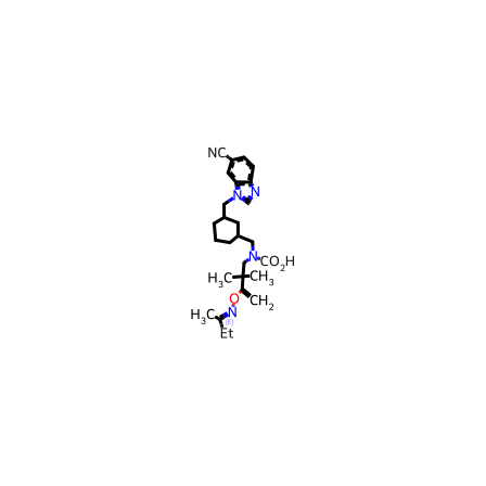 C=C(O/N=C(\C)CC)C(C)(C)CN(CC1CCCC(Cn2cnc3ccc(C#N)cc32)C1)C(=O)O